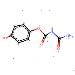 NC(=O)NC(=O)Oc1ccc(O)cc1